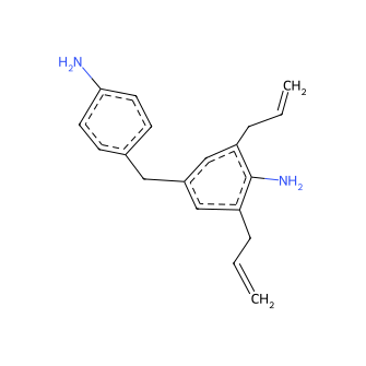 C=CCc1cc(Cc2ccc(N)cc2)cc(CC=C)c1N